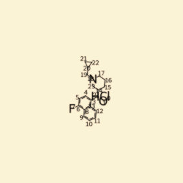 Cl.O=C(c1ccc(F)c2ccccc12)C1CCCN(CC2CC2)C1